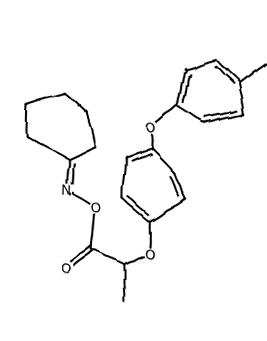 CC(Oc1ccc(Oc2ccc(I)cc2)cc1)C(=O)ON=C1CCCCC1